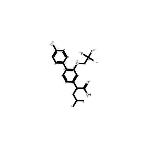 CC(C)CC(C(=O)O)c1ccc(-c2ccc(Cl)cc2)c(OCC(F)(F)F)c1